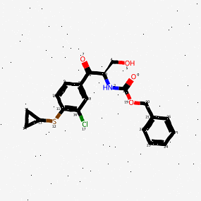 O=C(N[C@H](CO)C(=O)c1ccc(SC2CC2)c(Cl)c1)OCc1ccccc1